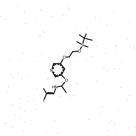 C/C(I)=C\NC(C)Oc1cncc(OCCO[Si](C)(C)C(C)(C)C)c1